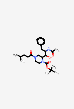 CC(=O)NC(Cc1ccccc1)C(O)C1CN(C(=O)CCC(C)C)CCN1C(=O)OC(C)(C)C